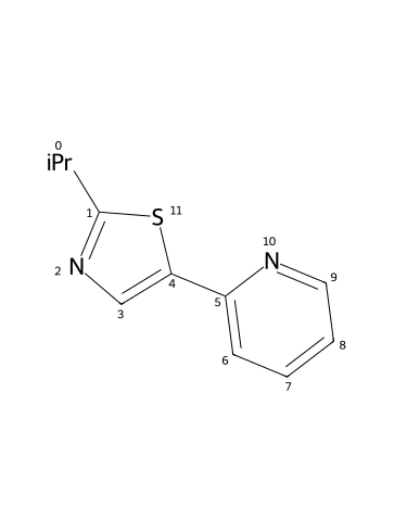 CC(C)c1ncc(-c2ccccn2)s1